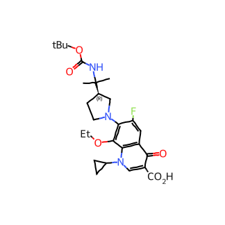 CCOc1c(N2CC[C@@H](C(C)(C)NC(=O)OC(C)(C)C)C2)c(F)cc2c(=O)c(C(=O)O)cn(C3CC3)c12